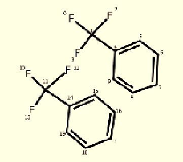 FC(F)(F)c1ccccc1.FC(F)(F)c1ccccc1